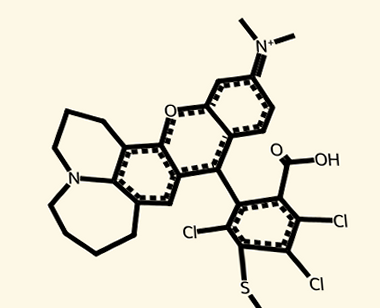 CSc1c(Cl)c(Cl)c(C(=O)O)c(-c2c3ccc(=[N+](C)C)cc-3oc3c4c5c(cc23)CCCCN5CCC4)c1Cl